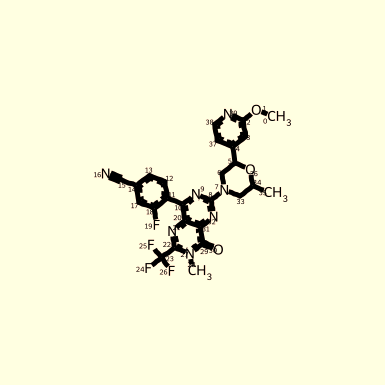 COc1cc(C2CN(c3nc(-c4ccc(C#N)cc4F)c4nc(C(F)(F)F)n(C)c(=O)c4n3)CC(C)O2)ccn1